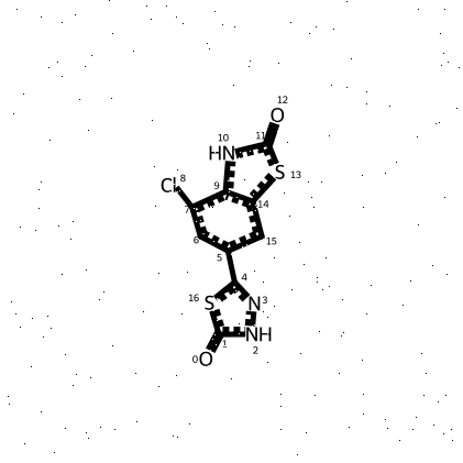 O=c1[nH]nc(-c2cc(Cl)c3[nH]c(=O)sc3c2)s1